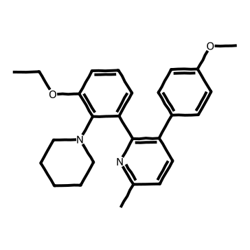 CCOc1cccc(-c2nc(C)ccc2-c2ccc(OC)cc2)c1N1CCCCC1